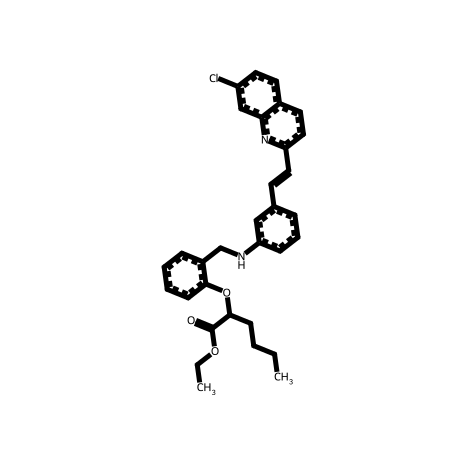 CCCCC(Oc1ccccc1CNc1cccc(C=Cc2ccc3ccc(Cl)cc3n2)c1)C(=O)OCC